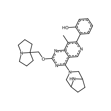 Cc1c(-c2ccccc2O)ncc2c(N3CC4CCC(C3)N4)nc(OCC34CCCN3CCC4)nc12